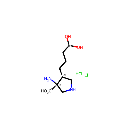 Cl.Cl.N[C@@]1(C(=O)O)CNC[C@@H]1CCCB(O)O